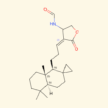 CC1(C)CCC[C@@]2(C)[C@H]1CCC1(CC1)[C@@H]2CC/C=C1\C(=O)OCC1NC=O